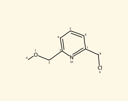 COCc1cccc(CCl)n1